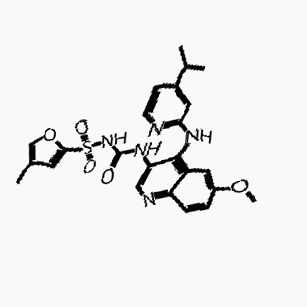 COc1ccc2ncc(NC(=O)NS(=O)(=O)c3cc(C)co3)c(Nc3cc(C(C)C)ccn3)c2c1